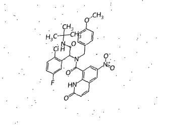 COc1ccc(CN(C(=O)c2cc([N+](=O)[O-])cc3ccc(=O)[nH]c23)C(C(=O)NC(C)(C)C)c2cc(F)ccc2Cl)cc1